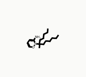 CCCCCCC(C)(CCCCC)N1OC=CC=C1N